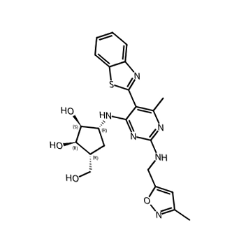 Cc1cc(CNc2nc(C)c(-c3nc4ccccc4s3)c(N[C@@H]3C[C@H](CO)[C@@H](O)[C@H]3O)n2)on1